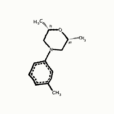 Cc1cccc(N2C[C@@H](C)O[C@@H](C)C2)c1